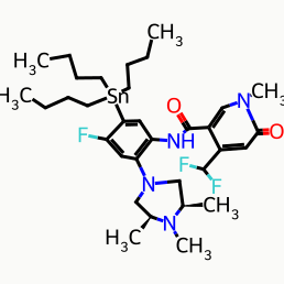 CCC[CH2][Sn]([CH2]CCC)([CH2]CCC)[c]1cc(NC(=O)c2cn(C)c(=O)cc2C(F)F)c(N2C[C@@H](C)N(C)[C@@H](C)C2)cc1F